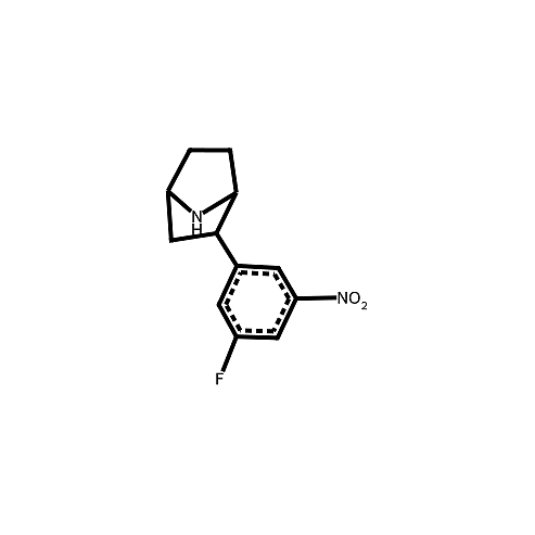 O=[N+]([O-])c1cc(F)cc(C2CC3CCC2N3)c1